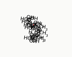 C[C@H](CC[C@@H](O[C@@H]1O[C@H](CO[C@@H]2C[C@H](CO)[C@@H](O)[C@H](O)[C@H]2O)[C@@H](O)[C@H](O)[C@H]1O)C(C)(C)O)C1CC[C@@]2(C)C3CC=C4C(CC[C@H](O[C@@H]5O[C@H](CO)[C@@H](O)[C@H](O)[C@H]5O)C4(C)C)[C@]3(C)CC[C@]12C